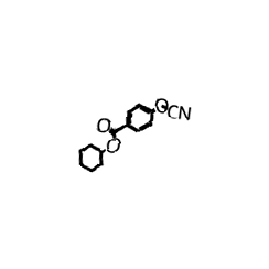 N#COc1ccc(C(=O)OC2CCCCC2)cc1